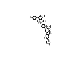 Cc1[nH]c(C=C2C(=O)Nc3cc(NC(=O)c4c[nH]cc(-c5ccc(F)cc5)c4=O)ccc32)c(C)c1CC(=O)N1CCN(C)CC1